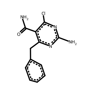 NC(=O)c1c(Cl)nc(N)nc1Cc1ccccc1